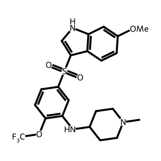 COc1ccc2c(S(=O)(=O)c3ccc(OC(F)(F)F)c(NC4CCN(C)CC4)c3)c[nH]c2c1